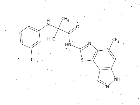 CC(C)(Nc1cccc(Cl)c1)C(=O)Nc1nc2c(C(F)(F)F)cc3[nH]ncc3c2s1